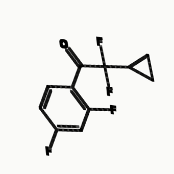 O=C(c1ccc(F)cc1F)C(F)(F)C1CC1